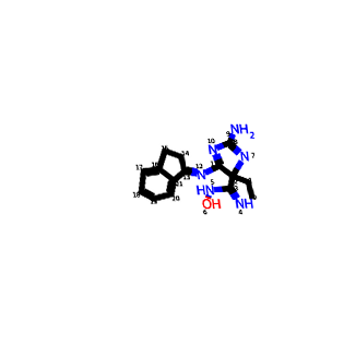 CCC1(C(=N)NO)N=C(N)N=C1N=C1CCc2ccccc21